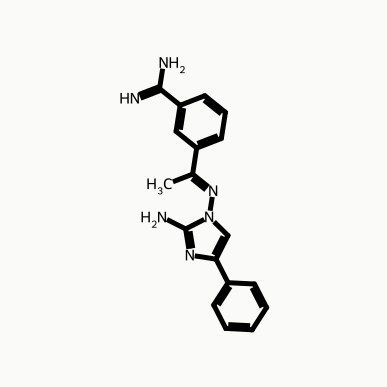 C/C(=N\n1cc(-c2ccccc2)nc1N)c1cccc(C(=N)N)c1